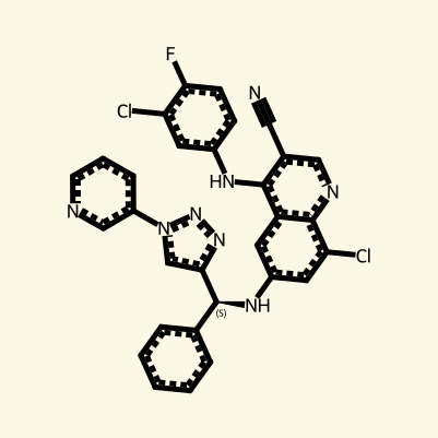 N#Cc1cnc2c(Cl)cc(N[C@@H](c3ccccc3)c3cn(-c4cccnc4)nn3)cc2c1Nc1ccc(F)c(Cl)c1